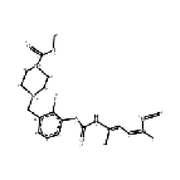 C=N/C(C)=C\C=C(/C)NC(=O)Nc1cccc(CN2CCN(C(=O)OC)CC2)c1F